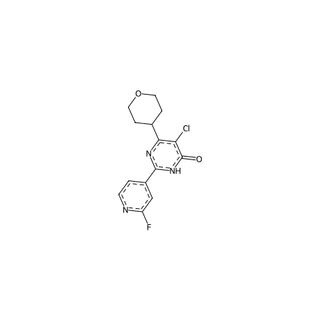 O=c1[nH]c(-c2ccnc(F)c2)nc(C2CCOCC2)c1Cl